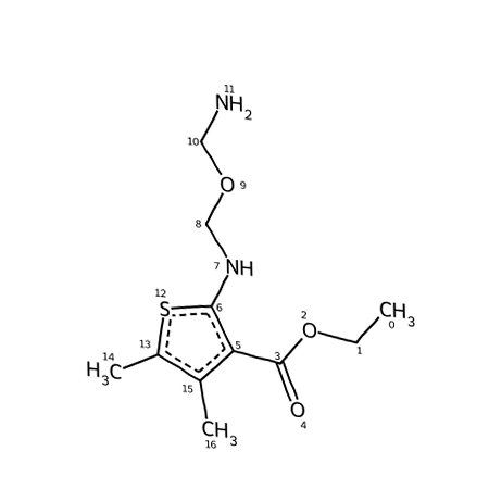 CCOC(=O)c1c(NCOCN)sc(C)c1C